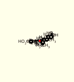 CC1(C)CC2C3=CCC4[C@@](C)(CCC5[C@]4(C)CC[C@H](O)[C@]5(C)CO)C3C[C@@H](O)[C@@]2(COCc2cn(-c3ccc(C(=O)O)cc3)nn2)[C@@H](O)[C@@H]1O